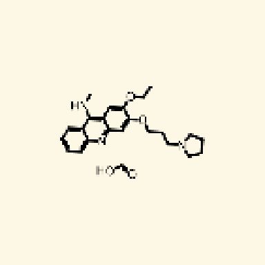 CCOc1cc2c(NC)c3ccccc3nc2cc1OCCCN1CCCC1.O=CO